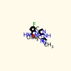 CONC(=O)c1ccc(F)cc1N(N)c1cc(Nc2cn(C)nc2C)ncc1C(F)(F)F